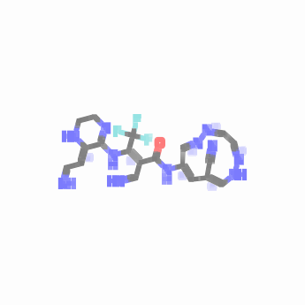 N#CC1=C/N\N=C/C=N\N=C\C(NC(=O)/C(C=N)=C(/NC2=NCCN/C2=C\C=N)C(F)(F)F)=C/1